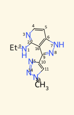 CCNc1nccc2[nH]nc(-c3cn(C)nn3)c12